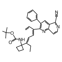 C=C/C(=C\C=C(/CC)C1(NC(=O)OC(C)(C)C)CCC1)c1nc2ccnc(C#N)c2cc1-c1ccccc1